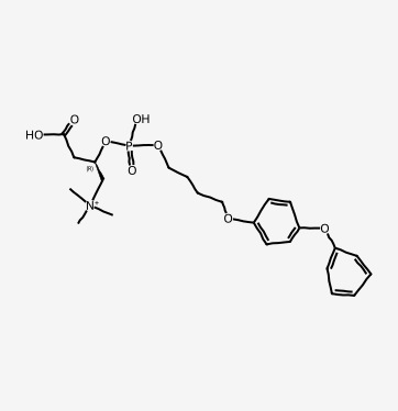 C[N+](C)(C)C[C@@H](CC(=O)O)OP(=O)(O)OCCCCOc1ccc(Oc2ccccc2)cc1